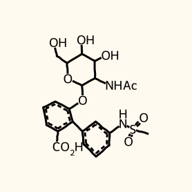 CC(=O)NC1C(Oc2cccc(C(=O)O)c2-c2cccc(NS(C)(=O)=O)c2)OC(CO)C(O)C1O